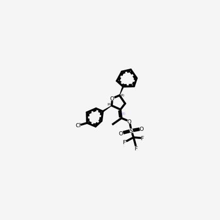 C/C(OS(=O)(=O)C(F)(F)F)=C1/C[C@H](c2ccccc2)O[C@@H]1c1ccc(Cl)cc1